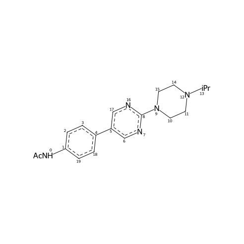 CC(=O)Nc1ccc(-c2cnc(N3CCN(C(C)C)CC3)nc2)cc1